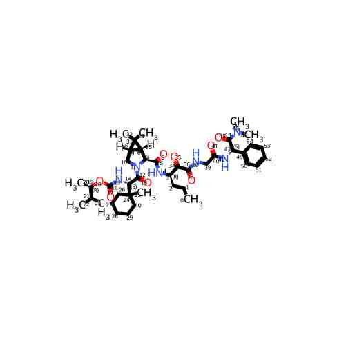 CCC[C@@H](NC(=O)[C@@H]1[C@@H]2[C@H](CN1C(=O)[C@@H](NC(=O)O[C@H](C)C(C)C)C1(C)CCCCC1)C2(C)C)C(=O)C(=O)NCC(=O)N[C@H](C(=O)N(C)C)c1ccccc1